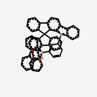 C1=CC(n2c3ccccc3c3ccccc32)=CC(n2c3ccccc3c3ccc4c(c32)C2(c3ccccc3-4)c3ccccc3-c3c2ccc2c3[nH]c3ccccc32)C1